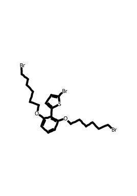 BrCCCCCCOc1cccc(OCCCCCCBr)c1-c1ccc(Br)s1